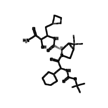 CC(C)(C)OC(=O)NC(C(=O)N1CC2C([C@H]1C(=O)NC(CC1CCC1)C(O)C(N)=O)C2(C)C)C1CCCCC1